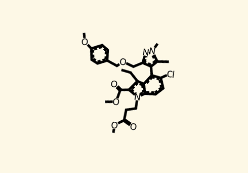 CCc1c(C(=O)OC)n(CCC(=O)OC)c2ccc(Cl)c(-c3c(COCc4ccc(OC)cc4)nn(C)c3C)c12